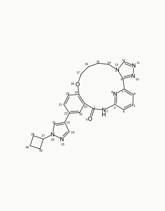 O=C1Nc2cccc(n2)-c2nncn2CCCCOc2ccc(-c3cnn(C4CCC4)c3)cc21